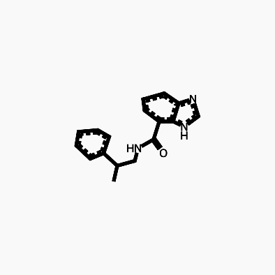 CC(CNC(=O)c1cccc2nc[nH]c12)c1ccccc1